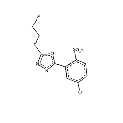 O=S(=O)(O)c1ccc(Cl)cc1-c1nnc(SCCF)o1